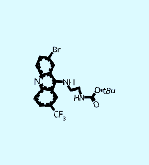 CC(C)(C)OC(=O)NCCNc1c2cc(Br)ccc2nc2ccc(C(F)(F)F)cc12